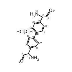 Cl.Cl.NC(C=O)c1ccc(-c2ccc(C(N)C=O)cc2)cc1